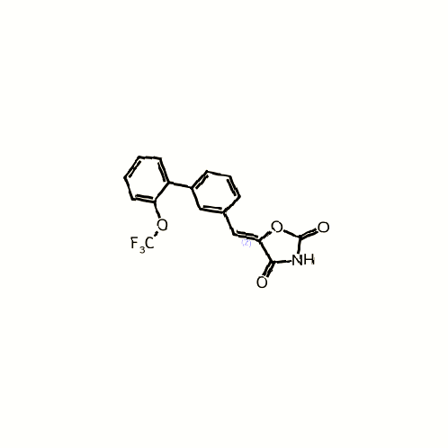 O=C1NC(=O)/C(=C/c2cccc(-c3ccccc3OC(F)(F)F)c2)O1